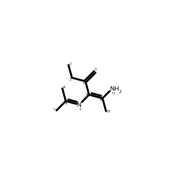 C=C(CC)/C(N=C(C)C)=C(/C)N